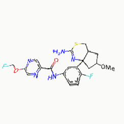 COC1CC2CSC(N)=NC2(c2cc(NC(=O)c3cnc(OCF)cn3)ccc2F)C1